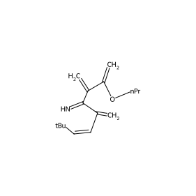 C=C(/C=C\C(C)(C)C)C(=N)C(=C)C(=C)OCCC